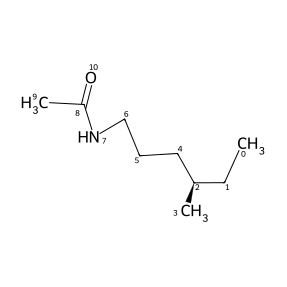 CC[C@@H](C)CCCNC(C)=O